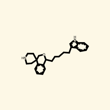 c1ccc2c(c1)C(CCCCCc1c[nH]c3ccccc13)OCC21CCNCC1